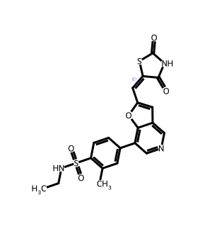 CCNS(=O)(=O)c1ccc(-c2cncc3cc(/C=C4/SC(=O)NC4=O)oc23)cc1C